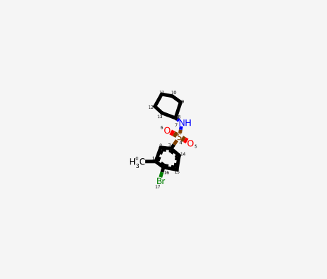 Cc1cc(S(=O)(=O)NC2CCCCC2)ccc1Br